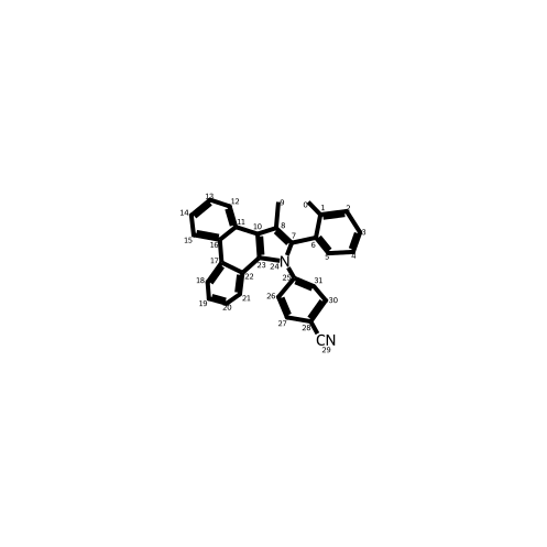 Cc1ccccc1-c1c(C)c2c3ccccc3c3ccccc3c2n1-c1ccc(C#N)cc1